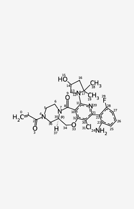 C=CC(=O)N1CCN2C(=O)c3c(N4CC(O)CC4(C)C)nc(-c4c(N)cccc4F)c(Cl)c3OC[C@H]2C1